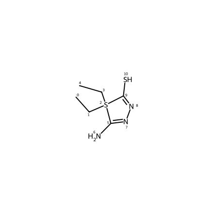 CCS1(CC)C(N)=NN=C1S